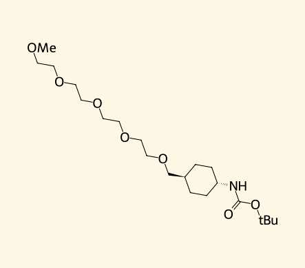 COCCOCCOCCOCCOC[C@H]1CC[C@H](NC(=O)OC(C)(C)C)CC1